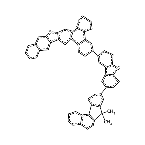 CC1(C)c2cc(-c3ccc4sc5ccc(-c6ccc7c(c6)c6ccccc6c6cc8sc9cc%10ccccc%10cc9c8cc76)cc5c4c3)ccc2-c2c1ccc1ccccc21